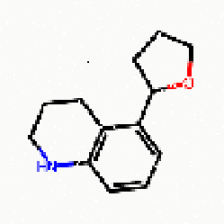 c1cc2c(c(C3CCCO3)c1)CCCN2